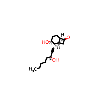 CCCCC[C@H](O)C#C[C@H]1[C@@H]2CC(=O)[C@@H]2CC[C@@H]1O